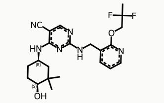 CC(F)(F)COc1ncccc1CNc1ncc(C#N)c(N[C@@H]2CC[C@H](O)C(C)(C)C2)n1